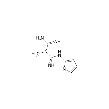 CN(C(=N)N)C(=N)Nc1ccc[nH]1